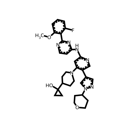 COc1cccc(F)c1-c1nccc(Nc2cc(N3CCC(C4(O)CC4)CC3)c(-c3cnn(C4CCOCC4)c3)cn2)n1